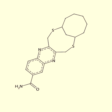 NC(=O)c1ccc2nc3c(nc2c1)CSC1CCCCCC(C1)SC3